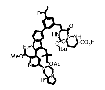 CCn1c(-c2cc(N3CCN4CCC[C@@H]4C3)cnc2C(C)OC)c(CC(C)(C)COC(C)=O)c2cc(-c3cc(CC(NC(=O)OC(C)(C)C)C(=O)N4CCC[C@@H](C(=O)O)N4)cc(C(F)F)c3)ccc21